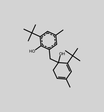 CC1=CCC(O)(Cc2cc(C)cc(C(C)(C)C)c2O)C(C(C)(C)C)=C1